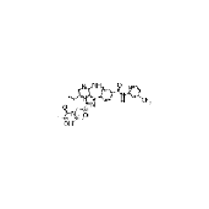 C=Cc1cnc(N)c2c(-c3ccc(C(=O)Nc4cc(C(F)(F)F)ccn4)cc3)nc([C@H]3CN(C(=O)[C@H](C)O)[C@@H](C)CO3)n12